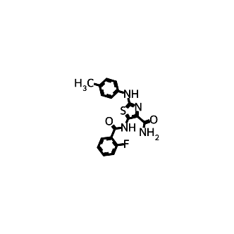 Cc1ccc(Nc2nc(C(N)=O)c(NC(=O)c3ccccc3F)s2)cc1